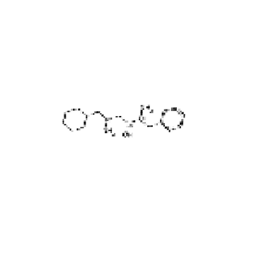 N[C@@H](Cc1ccccc1)[C@H](O)CN(N)CC1CCCCC1